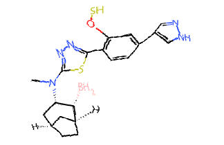 B[C@@H]1[C@H]2CC[C@H](C2)C[C@@H]1N(C)c1nnc(-c2ccc(-c3cn[nH]c3)cc2OS)s1